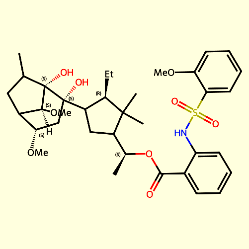 CC[C@@H]1C([C@@]2(O)C[C@H](OC)C3CC(C)[C@]2(O)[C@H]3OC)CC([C@H](C)OC(=O)c2ccccc2NS(=O)(=O)c2ccccc2OC)C1(C)C